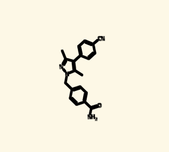 Cc1nn(Cc2ccc(C(N)=O)cc2)c(C)c1-c1ccc(C#N)cc1